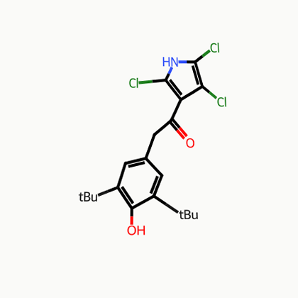 CC(C)(C)c1cc(CC(=O)c2c(Cl)[nH]c(Cl)c2Cl)cc(C(C)(C)C)c1O